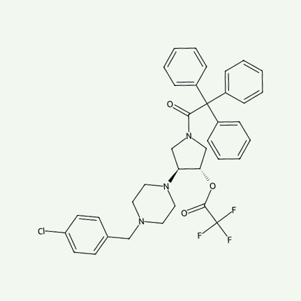 O=C(O[C@H]1CN(C(=O)C(c2ccccc2)(c2ccccc2)c2ccccc2)C[C@@H]1N1CCN(Cc2ccc(Cl)cc2)CC1)C(F)(F)F